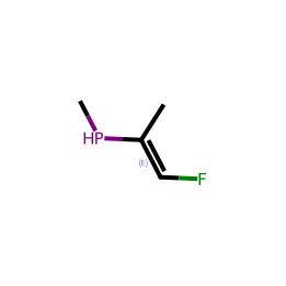 CP/C(C)=C/F